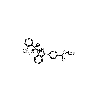 CC(C)(C)OC(=O)c1ccc(-c2nn(S(=O)(=O)c3ccccc3C(F)(F)F)c3ccccc23)cc1